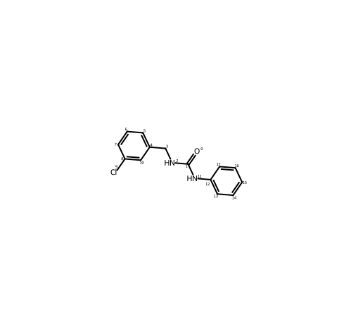 O=C(NCc1cccc(Cl)c1)Nc1ccccc1